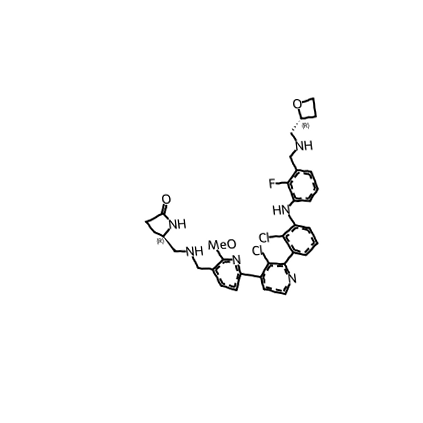 COc1nc(-c2ccnc(-c3cccc(Nc4cccc(CNC[C@H]5CCO5)c4F)c3Cl)c2Cl)ccc1CNC[C@H]1CCC(=O)N1